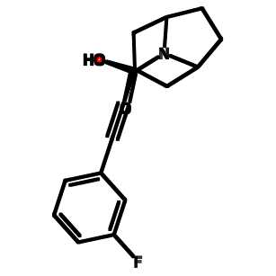 O=C(O)N1C2CCC1CC(O)(C#Cc1cccc(F)c1)C2